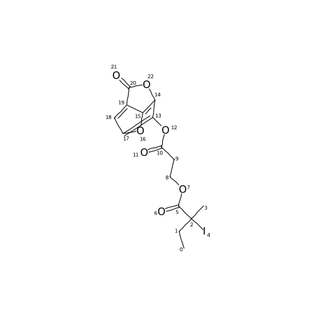 CCC(C)(I)C(=O)OCCC(=O)Oc1c2c3oc1cc3C(=O)O2